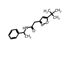 CC(NC(=O)Cc1cc(C(C)(C)C)on1)c1ccccc1